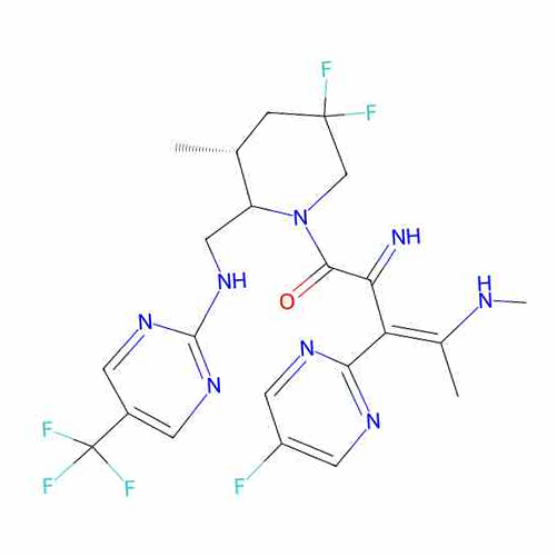 CN/C(C)=C(\C(=N)C(=O)N1CC(F)(F)C[C@@H](C)C1CNc1ncc(C(F)(F)F)cn1)c1ncc(F)cn1